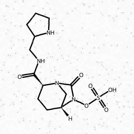 O=C(NCC1CCCN1)[C@@H]1CC[C@@H]2CN1C(=O)N2OS(=O)(=O)O